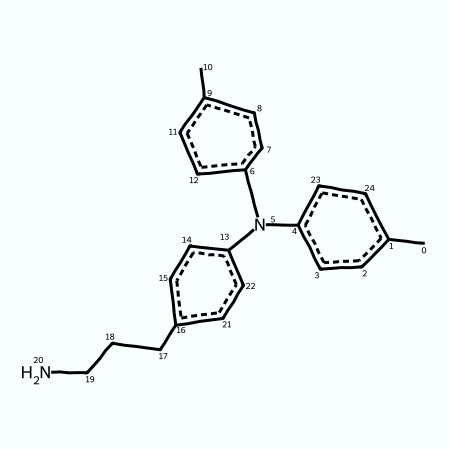 Cc1ccc(N(c2ccc(C)cc2)c2ccc(CCCN)cc2)cc1